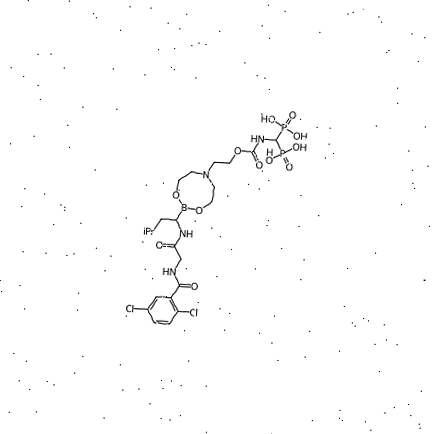 CC(C)CC(NC(=O)CNC(=O)c1cc(Cl)ccc1Cl)B1OCCN(CCOC(=O)NC(P(=O)(O)O)P(=O)(O)O)CCO1